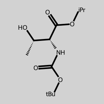 CC(C)OC(=O)[C@H](NC(=O)OC(C)(C)C)[C@H](C)O